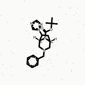 CC(C)(C)OC(=O)N1[C@@H]2CC(n3cncn3)[C@H]1CN(Cc1ccccc1)C2